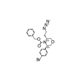 [N-]=[N+]=NCC[C@H]1COC[C@@H](c2ccc(Br)cc2)N1C(=O)OCc1ccccc1